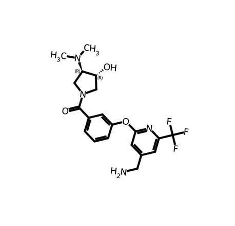 CN(C)[C@@H]1CN(C(=O)c2cccc(Oc3cc(CN)cc(C(F)(F)F)n3)c2)C[C@H]1O